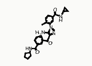 Cc1ccc(C(=O)NC2CC2)cc1-n1cnc(C(=O)c2cccc(C(=O)NC3CCCC3)c2)c1N